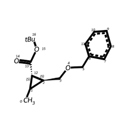 CC1[C@H](COCc2ccccc2)[C@H]1C(=O)OC(C)(C)C